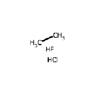 CC.Cl.F